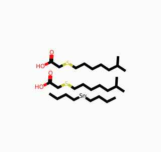 CC(C)CCCCCSCC(=O)O.CC(C)CCCCCSCC(=O)O.CCC[CH2][Sn][CH2]CCC